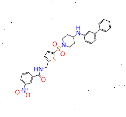 O=C(NCc1ccc(S(=O)(=O)N2CCC(Nc3cccc(-c4ccccc4)c3)CC2)s1)c1cccc([N+](=O)[O-])c1